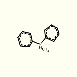 C.c1ccc(Pc2ccccc2)cc1